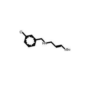 CCCCC=CCNCc1cccc(Cl)c1